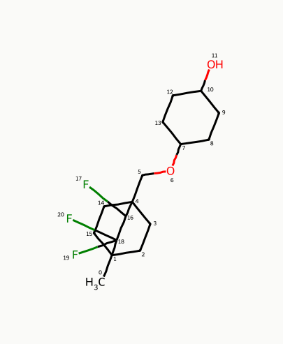 CC12CCC(COC3CCC(O)CC3)(CC1)C(F)C2(F)F